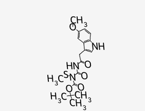 COc1ccc2[nH]cc(CC(=O)NC(=O)N(SC)C(=O)OC(C)(C)C)c2c1